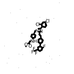 COC(=O)CNc1ccc(Cn2cc(-c3ccc(Cl)cc3Cl)nc2C=Cc2ccc(-c3cc(C(F)(F)F)ccc3F)cc2)cc1